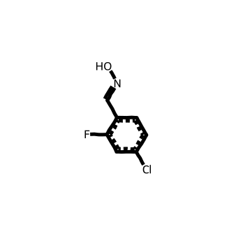 ON=Cc1ccc(Cl)cc1F